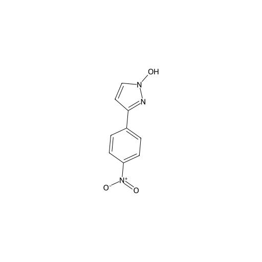 O=[N+]([O-])c1ccc(-c2ccn(O)n2)cc1